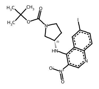 CC(C)(C)OC(=O)N1CC[C@H](Nc2c([N+](=O)[O-])cnc3ccc(I)cc23)C1